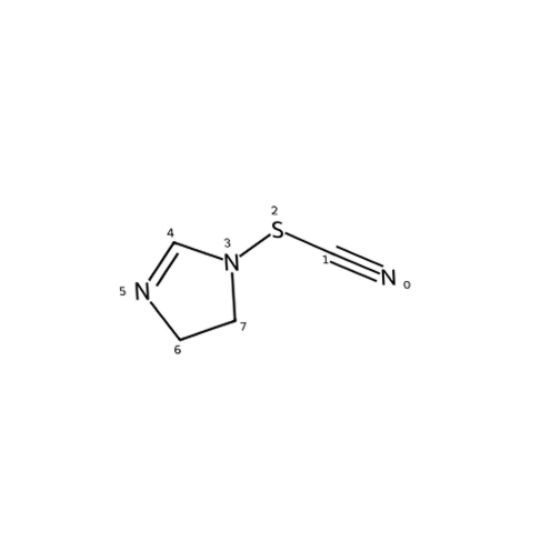 N#CSN1C=NCC1